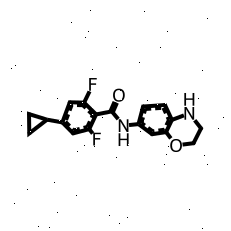 O=C(Nc1ccc2c(c1)OCCN2)c1c(F)cc(C2CC2)cc1F